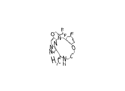 C=C1NCCCOc2ccc(F)cc2CN2c3nc4c1cnn4cc3OC[C@H]2C(F)F